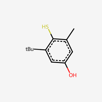 Cc1cc(O)cc(C(C)(C)C)c1S